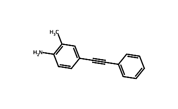 Cc1cc(C#Cc2ccccc2)ccc1N